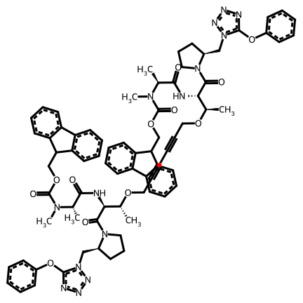 C[C@@H](OCC#CC#CCO[C@H](C)[C@H](NC(=O)[C@H](C)N(C)C(=O)OCC1c2ccccc2-c2ccccc21)C(=O)N1CCC[C@H]1Cn1nnnc1Oc1ccccc1)[C@H](NC(=O)[C@H](C)N(C)C(=O)OCC1c2ccccc2-c2ccccc21)C(=O)N1CCC[C@H]1Cn1nnnc1Oc1ccccc1